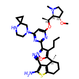 CCCc1c(-c2nc(O[C@@H](C)[C@@H]3[C@@H](OC)CCN3C)cc(N3CCNC4(CC4)C3)n2)noc1[C@@]1(C)CCCc2sc(N)c(C#N)c21